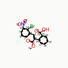 COC(=O)C(=Cc1cccc([N+](=O)[O-])c1Br)c1ccccc1C(=O)O